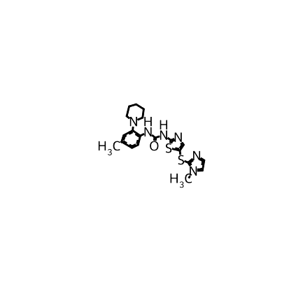 Cc1ccc(NC(=O)Nc2ncc(Sc3nccn3C)s2)c(N2CCCCC2)c1